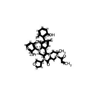 C=CC(=O)N1CC2C(=O)N(C3CCOC3)C3=C(c4cc(F)c(-c5c(O)cccc5F)c(F)c4N(c4c(C)ccnc4C(C)C)C3)N2CC1C